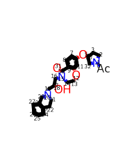 CC(=O)N1CC[C@@H](Oc2ccc3c(c2)OCCN(CC(O)CN2CCc4ccccc4C2)C3=O)C1